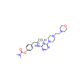 CN(C)C(=O)Oc1ccc(C[C@H](Nc2ncnc(N3CCN(CCN4CCOCC4)CC3)n2)C(=O)O)cc1